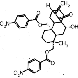 C=C1C(=O)C23CC[C@H]1CC2[C@]1(COC(=O)c2ccc([N+](=O)[O-])cc2)CCC[C@@](C)(COC(=O)c2ccc([N+](=O)[O-])cc2)C1C[C@H]3O